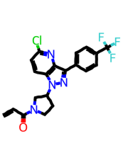 C=CC(=O)N1CCC(n2nc(-c3ccc(C(F)(F)F)cc3)c3nc(Cl)ccc32)C1